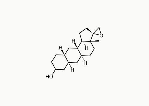 C[C@@]12CC[C@H]3C[C@H]4CC(O)CC[C@@H]4C[C@@H]3[C@H]1CC[C@]21CO1